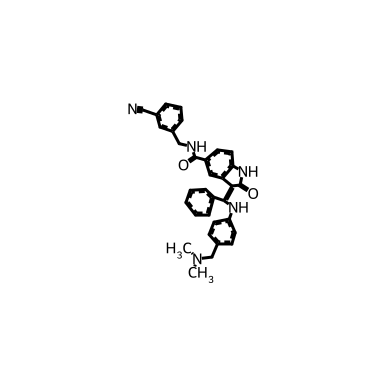 CN(C)Cc1ccc(N/C(=C2\C(=O)Nc3ccc(C(=O)NCc4cccc(C#N)c4)cc32)c2ccccc2)cc1